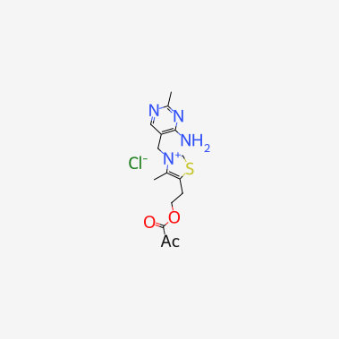 CC(=O)C(=O)OCCc1sc[n+](Cc2cnc(C)nc2N)c1C.[Cl-]